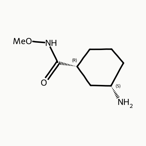 CONC(=O)[C@@H]1CCC[C@H](N)C1